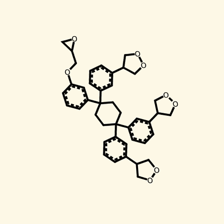 c1cc(OCC2CO2)cc(C2(c3cccc(C4COOC4)c3)CCC(c3cccc(C4COOC4)c3)(c3cccc(C4COOC4)c3)CC2)c1